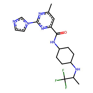 Cc1cc(C(=O)NC2CCC(NC(C)C(F)(F)F)CC2)nc(-n2ccnc2)n1